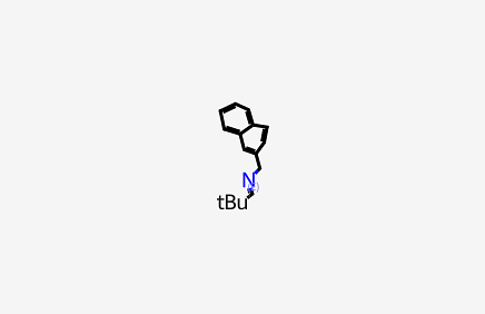 CC(C)(C)/C=N/Cc1ccc2ccccc2c1